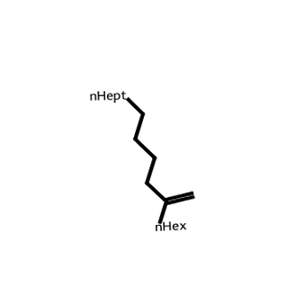 [CH2]CCCCCCCCCCC(=C)CCCCCC